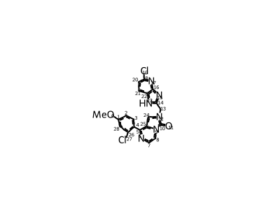 COc1ccc(-c2nccn3c(=O)n(Cc4nc5nc(Cl)ccc5[nH]4)cc23)c(Cl)c1